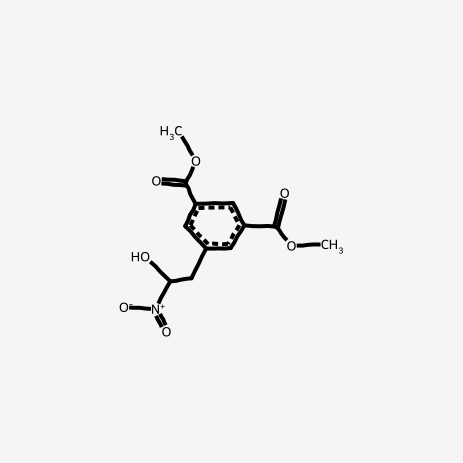 COC(=O)c1cc(CC(O)[N+](=O)[O-])cc(C(=O)OC)c1